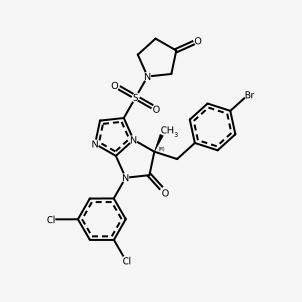 C[C@@]1(Cc2ccc(Br)cc2)C(=O)N(c2cc(Cl)cc(Cl)c2)c2ncc(S(=O)(=O)N3CCC(=O)C3)n21